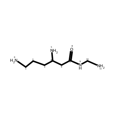 NCCCC(N)CC(=O)NCN